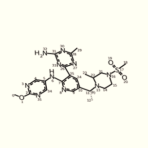 COc1ncc(Nc2ncc([C@@H](C)N3CCN(S(C)(=O)=O)CC3C)cc2-c2nc(C)nc(N)n2)cn1